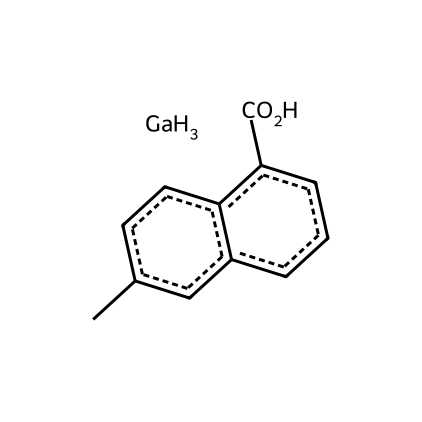 Cc1ccc2c(C(=O)O)cccc2c1.[GaH3]